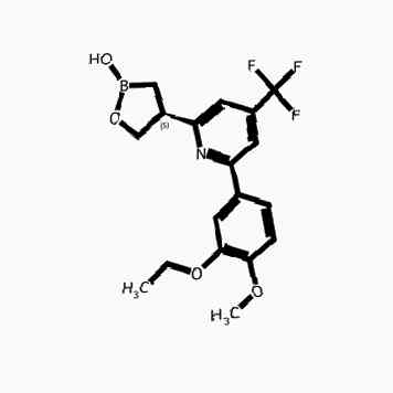 CCOc1cc(-c2cc(C(F)(F)F)cc([C@H]3COB(O)C3)n2)ccc1OC